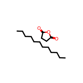 CCCCCCCCCCCC.O=C1CCC(=O)O1